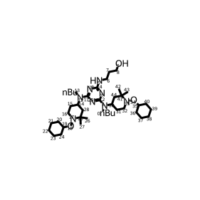 CCCCN(c1nc(NCCCO)nc(N(CCCC)C2CCN(OC3CCCCC3)C(C)(C)C2)n1)C1CCN(OC2CCCCC2)C(C)(C)C1